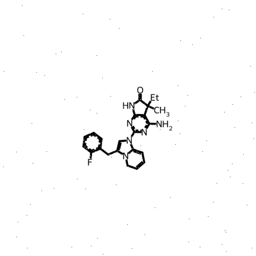 CCC1(C)C(=O)Nc2nc(N3C=C(Cc4ccccc4F)N4CC=CC=C43)nc(N)c21